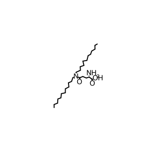 CCCCCCCCCCCCN(CCCCCCCCCCCC)C(=O)CC[C@H](N)C(=O)O